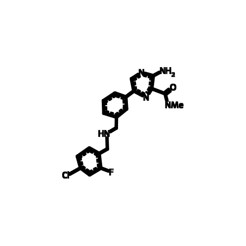 CNC(=O)c1nc(-c2cccc(CNCc3ccc(Cl)cc3F)c2)cnc1N